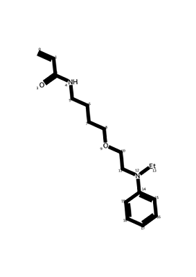 C=CC(=O)NCCCCOCCN(CC)c1ccccc1